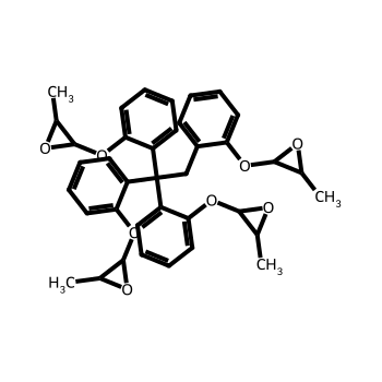 CC1OC1Oc1ccccc1CC(c1ccccc1OC1OC1C)(c1ccccc1OC1OC1C)c1ccccc1OC1OC1C